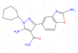 NC(=O)c1c(-c2ccc3oc(N)nc3c2)nn(C2CCCCC2)c1N